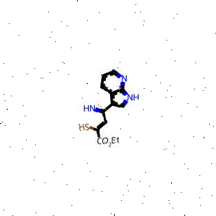 CCOC(=O)/C(S)=C/C(=N)c1c[nH]c2ncccc12